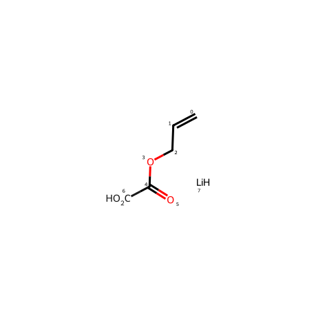 C=CCOC(=O)C(=O)O.[LiH]